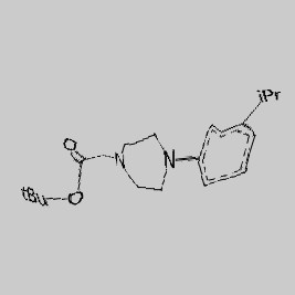 CC(C)c1cccc(N2CCN(C(=O)OC(C)(C)C)CC2)c1